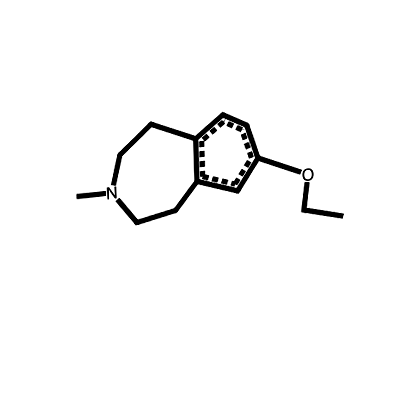 CCOc1ccc2c(c1)CCN(C)CC2